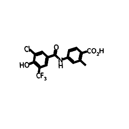 Cc1cc(NC(=O)c2cc(Cl)c(O)c(C(F)(F)F)c2)ccc1C(=O)O